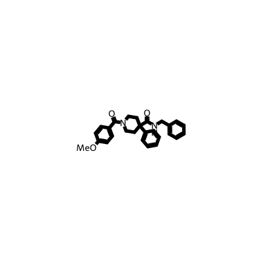 COc1ccc(C(=O)N2CCC(C(=O)NCc3ccccc3)(c3ccccc3)CC2)cc1